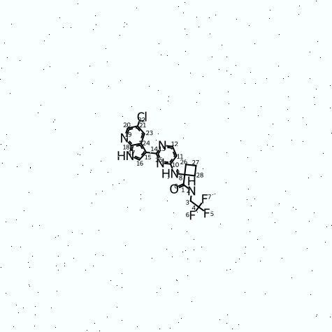 O=C(NCC(F)(F)F)C1(Nc2ccnc(-c3c[nH]c4ncc(Cl)cc34)n2)CCC1